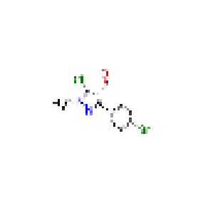 Cn1nc(-c2ccc(Br)cc2)c(C=O)c1Cl